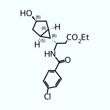 CCOC(=O)CC(NC(=O)c1ccc(Cl)cc1)[C@H]1[C@@H]2C[C@H](O)C[C@@H]21